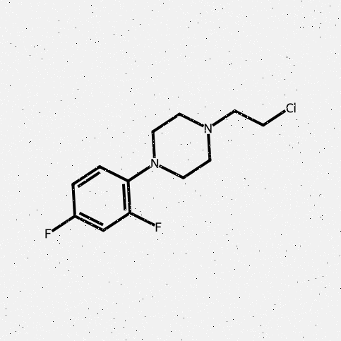 Fc1ccc(N2CCN(CCCl)CC2)c(F)c1